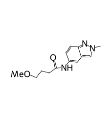 COCCCC(=O)Nc1ccc2nn(C)cc2c1